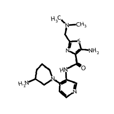 CN(C)Cc1nc(C(=O)Nc2cnccc2N2CCCC(N)C2)c(N)s1